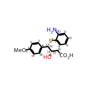 COc1ccc([C@H](Sc2ccccc2N)[C@@H](O)CC(=O)O)cc1